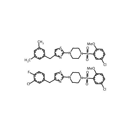 COc1ccc(Cl)cc1S(=O)(=O)N1CCN(c2nc(Cc3cc(C)cc(C)c3)cs2)CC1.COc1ccc(Cl)cc1S(=O)(=O)N1CCN(c2nc(Cc3ccc(F)c(Cl)c3)cs2)CC1